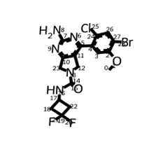 COc1cc(-c2nc(N)nc3c2CN(C(=O)NC2CC(F)(F)C2)C3)c(Cl)cc1Br